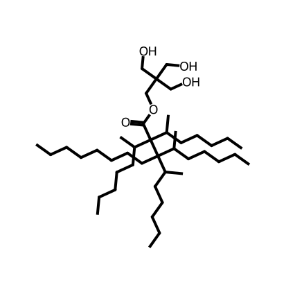 CCCCCCCCC(C(C)CCCCC)(C(C)CCCCC)C(C(=O)OCC(CO)(CO)CO)(C(C)CCCCC)C(C)CCCCC